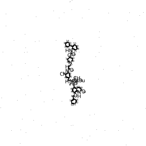 CC(C)(C)[Si](C)(C)O[C@@H](CNCc1ccc(NC(=O)CCN2CCC(OC(=O)Nc3ccccc3-c3ccccc3)CC2)c(Cl)c1)c1ccc(OCc2ccccc2)c2[nH]c(=O)ccc12